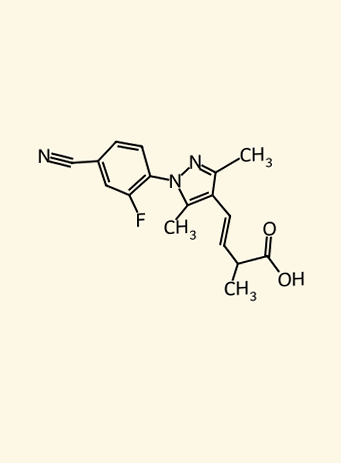 Cc1nn(-c2ccc(C#N)cc2F)c(C)c1C=CC(C)C(=O)O